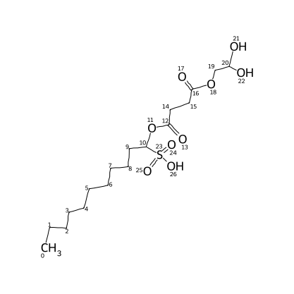 CCCCCCCCCCC(OC(=O)CCC(=O)OCC(O)O)S(=O)(=O)O